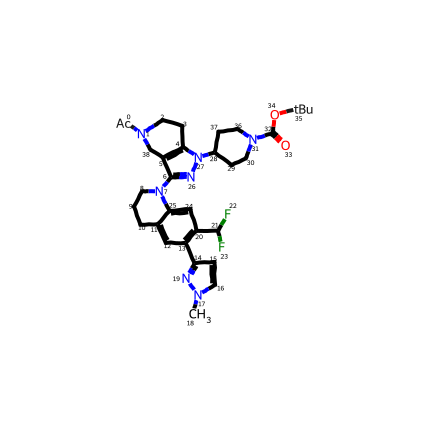 CC(=O)N1CCc2c(c(N3CCCc4cc(-c5ccn(C)n5)c(C(F)F)cc43)nn2C2CCN(C(=O)OC(C)(C)C)CC2)C1